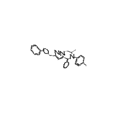 Cc1ccc(N2C(=O)c3cc(COc4ccccc4)nn3C[C@H]2C)cc1